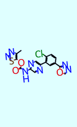 Cc1nnsc1OC(=O)Nc1cnc(-c2cc(-c3nnco3)ccc2Cl)cn1